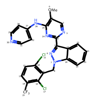 COc1cnc(-c2nn(Cc3c(Cl)ccc(C(F)(F)F)c3Cl)c3ccccc23)nc1Nc1ccncc1